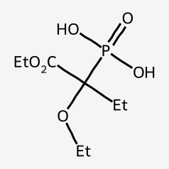 CCOC(=O)C(CC)(OCC)P(=O)(O)O